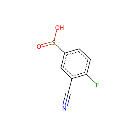 N#Cc1cc(S(=O)O)ccc1F